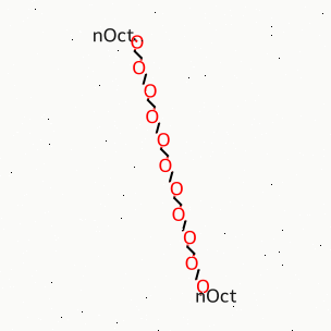 CCCCCCCCOCCOCCOCCOCCOCCOCCOCCOCCOCCOCCOCCCCCCCC